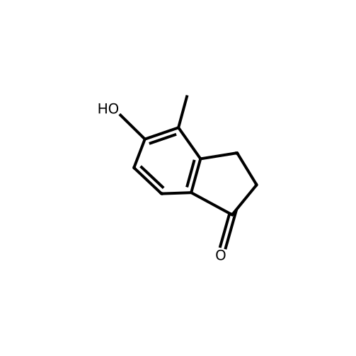 Cc1c(O)ccc2c1CCC2=O